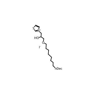 CCCCCCCCCCCCCCCCCCOCC(O)C[n+]1ccsc1.[I-]